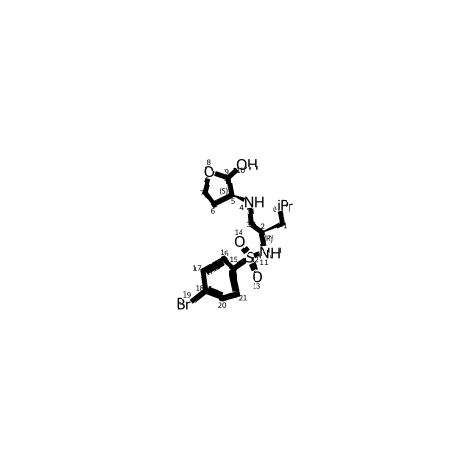 CC(C)C[C@H](CN[C@H]1CCOC1O)NS(=O)(=O)c1ccc(Br)cc1